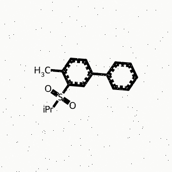 Cc1ccc(-c2ccccc2)cc1S(=O)(=O)C(C)C